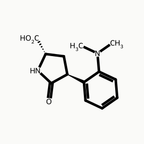 CN(C)c1ccccc1[C@@H]1C[C@@H](C(=O)O)NC1=O